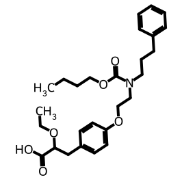 CCCCOC(=O)N(CCCc1ccccc1)CCOc1ccc(CC(OCC)C(=O)O)cc1